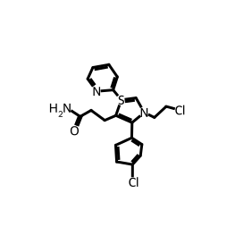 NC(=O)CCC1=C(c2ccc(Cl)cc2)N(CCCl)C=S1c1ccccn1